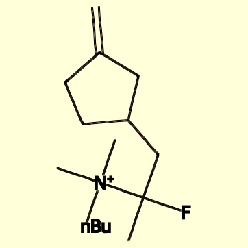 C=C1CCC(CC(C)(F)[N+](C)(C)CCCC)C1